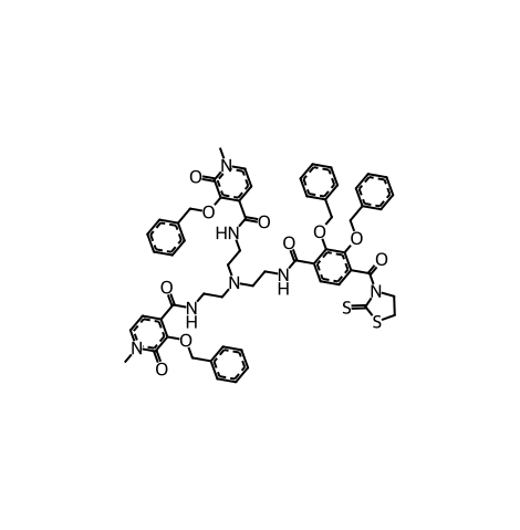 Cn1ccc(C(=O)NCCN(CCNC(=O)c2ccc(C(=O)N3CCSC3=S)c(OCc3ccccc3)c2OCc2ccccc2)CCNC(=O)c2ccn(C)c(=O)c2OCc2ccccc2)c(OCc2ccccc2)c1=O